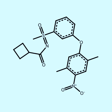 Cc1cc([N+](=O)[O-])c(C)cc1Oc1cccc(S(C)(=O)=NC(=O)C2CCC2)c1